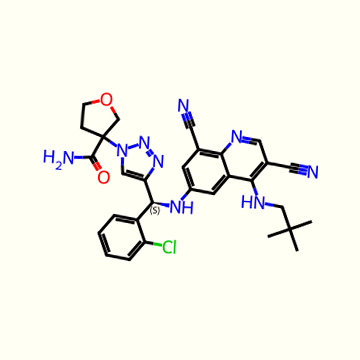 CC(C)(C)CNc1c(C#N)cnc2c(C#N)cc(N[C@H](c3cn(C4(C(N)=O)CCOC4)nn3)c3ccccc3Cl)cc12